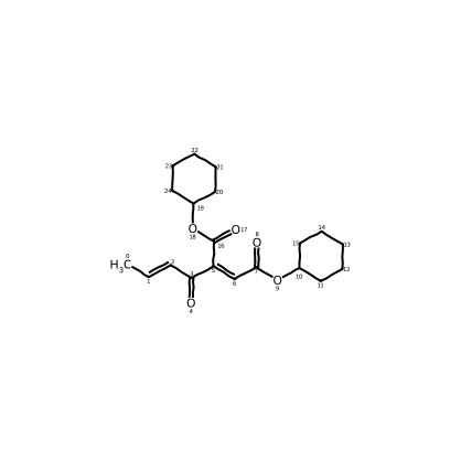 CC=CC(=O)/C(=C/C(=O)OC1CCCCC1)C(=O)OC1CCCCC1